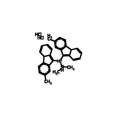 Cc1ccc2c(c1)[C]([Hf]([C]1=C3C=CC=CC3c3ccc(C)cc31)[SiH](C)C)=C1C=CC=CC12.Cl.Cl